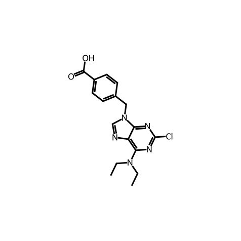 CCN(CC)c1nc(Cl)nc2c1ncn2Cc1ccc(C(=O)O)cc1